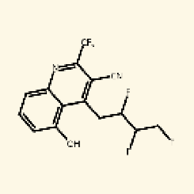 N#Cc1c(C(F)(F)F)nc2cccc(O)c2c1CC(F)C(F)CF